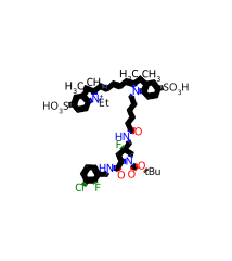 CC[N+]1=C(/C=C/C=CC=C2N(CCCCCC(=O)NCC3(F)CC(C(=O)NCc4cccc(Cl)c4F)N(C(=O)OC(C)(C)C)C3)c3ccc(S(=O)(=O)O)cc3C2(C)C)C(C)(C)c2cc(S(=O)(=O)O)ccc21